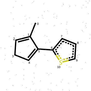 CC1=[C]CC=C1c1cccs1